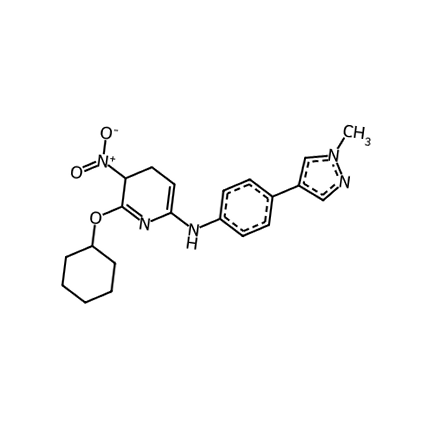 Cn1cc(-c2ccc(NC3=CCC([N+](=O)[O-])C(OC4CCCCC4)=N3)cc2)cn1